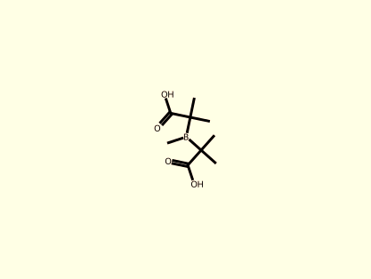 CB(C(C)(C)C(=O)O)C(C)(C)C(=O)O